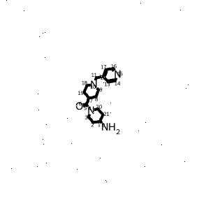 NC1CCN(C(=O)C2CCN(Cc3ccncc3)CC2)CC1